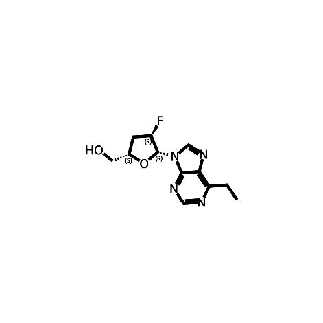 CCc1ncnc2c1ncn2[C@@H]1O[C@H](CO)C[C@H]1F